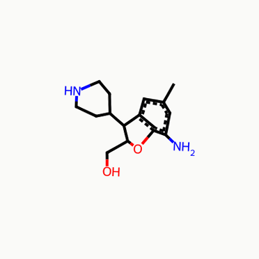 Cc1cc(N)c2c(c1)C(C1CCNCC1)C(CO)O2